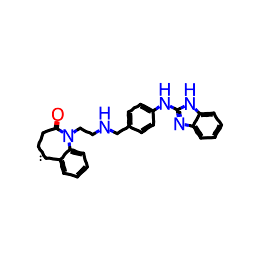 O=C1CC[C]c2ccccc2N1CCNCc1ccc(Nc2nc3ccccc3[nH]2)cc1